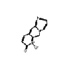 O=C1C=CC2=CC3=CN=CC=CN3CC2=[N+]1[O-]